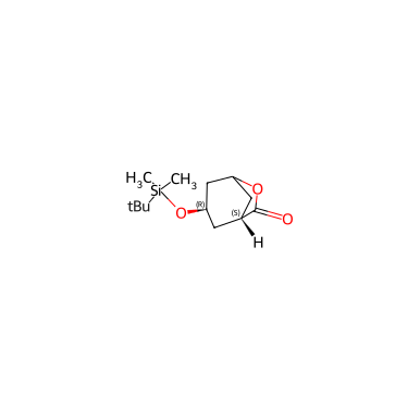 CC(C)(C)[Si](C)(C)O[C@H]1CC2C[C@@H](C1)C(=O)O2